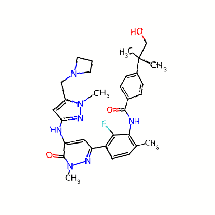 Cc1ccc(-c2cc(Nc3cc(CN4CCC4)n(C)n3)c(=O)n(C)n2)c(F)c1NC(=O)c1ccc(C(C)(C)CO)cc1